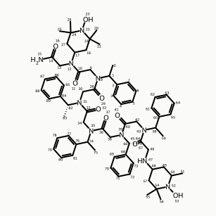 CC(c1ccccc1)N(CC(=O)N(CC(N)=O)C1CC(C)(C)N(O)C(C)(C)C1)C(=O)CN(C(=O)CN(C(=O)CN(C(=O)CN(C(=O)CNC1CC(C)N(O)C(C)(C)C1)C(C)c1ccccc1)[C@H](C)c1ccccc1)C(C)c1ccccc1)[C@H](C)c1ccccc1